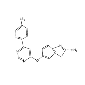 Nc1nc2ccc(Oc3cc(-c4ccc(C(F)(F)F)cc4)ncn3)cc2s1